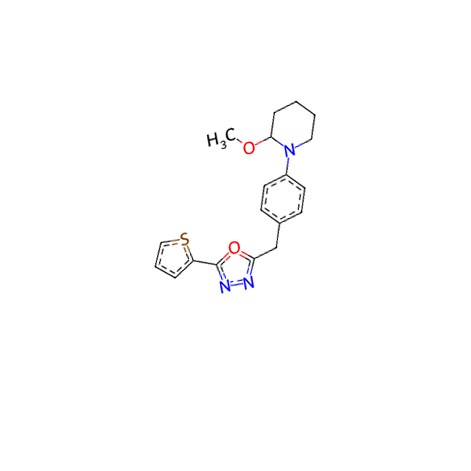 COC1CCCCN1c1ccc(Cc2nnc(-c3cccs3)o2)cc1